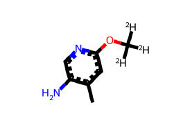 [2H]C([2H])([2H])Oc1cc(C)c(N)cn1